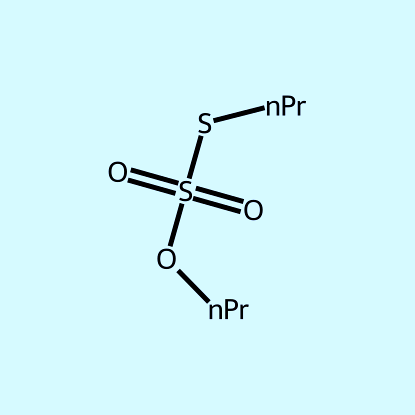 CCCOS(=O)(=O)SCCC